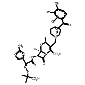 C[C@@H]1S[C@@H]2[C@H](NC(=O)/C(=N\OC(C)(C)C(=O)O)c3csc(N)n3)C(=O)N2C(C(=O)O)=C1C[N+]12CCC(CC1)N(C(=O)c1ccc(O)c(O)c1Cl)CC2